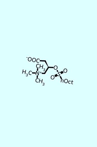 CCCCCCCCS(=O)(=O)O[C@H](CC(=O)[O-])C[N+](C)(C)C